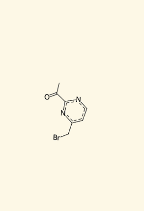 CC(=O)c1nccc(CBr)n1